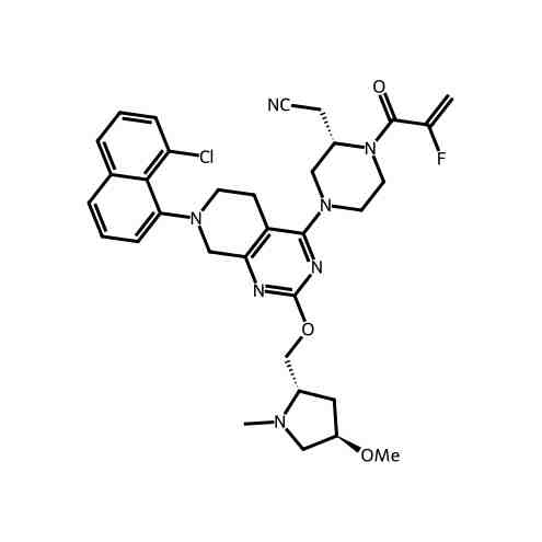 C=C(F)C(=O)N1CCN(c2nc(OC[C@@H]3C[C@@H](OC)CN3C)nc3c2CCN(c2cccc4cccc(Cl)c24)C3)C[C@@H]1CC#N